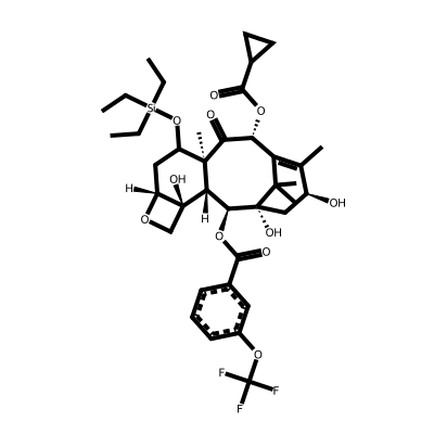 CC[Si](CC)(CC)OC1C[C@H]2OC[C@@]2(O)[C@H]2[C@H](OC(=O)c3cccc(OC(F)(F)F)c3)[C@]3(O)C[C@H](O)C(C)=C([C@@H](OC(=O)C4CC4)C(=O)[C@]12C)C3(C)C